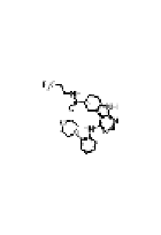 O=C(NCCC(F)(F)F)[C@H]1CCc2[nH]c3ncnc(Nc4ccccc4N4CCOCC4)c3c2C1